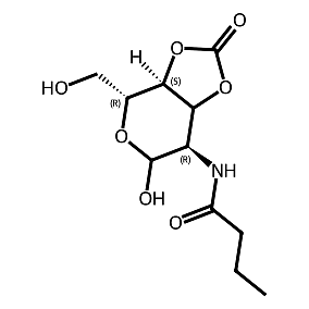 CCCC(=O)N[C@H]1C(O)O[C@H](CO)[C@H]2OC(=O)OC12